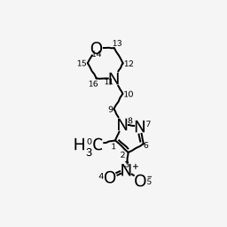 Cc1c([N+](=O)[O-])cnn1CCN1CCOCC1